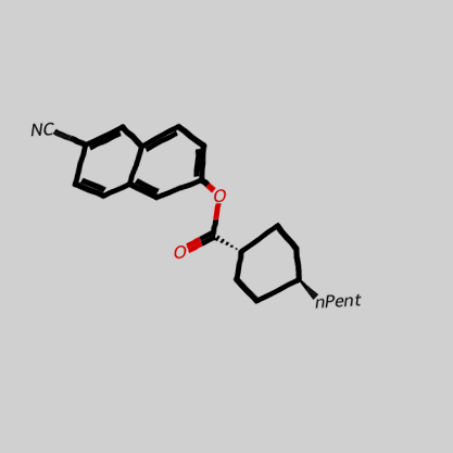 CCCCC[C@H]1CC[C@H](C(=O)Oc2ccc3cc(C#N)ccc3c2)CC1